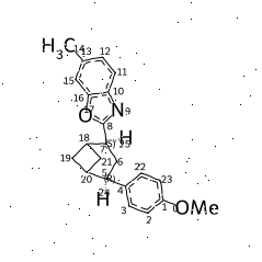 COc1ccc([C@@H]2C[C@H](c3nc4ccc(C)cc4o3)C3CC2C3)cc1